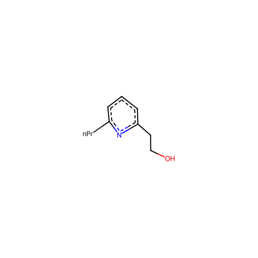 CCCc1cccc(CCO)n1